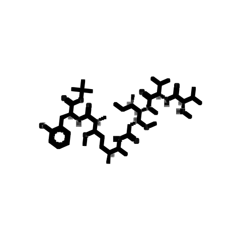 CC[C@H](C)[C@@H]([C@@H](CC(=O)NC(C)[C@@H](C)CCC(OC)[C@@H](C)C(=O)N[C@@H](Cc1ccccc1Cl)C(=O)OC(C)(C)C)OC)N(C)C(=O)[C@@H](NC(=O)[C@@H](NC)C(C)C)C(C)C